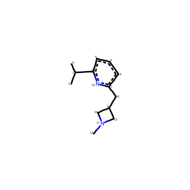 CC(C)c1cccc(CC2CN(C)C2)n1